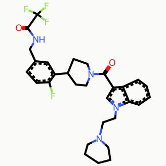 O=C(c1cn(CCN2CCCCC2)c2ccccc12)N1CCC(c2cc(CNC(=O)C(F)(F)F)ccc2F)CC1